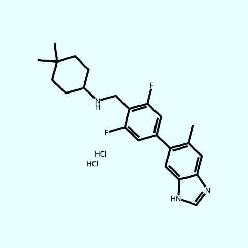 Cc1cc2nc[nH]c2cc1-c1cc(F)c(CNC2CCC(C)(C)CC2)c(F)c1.Cl.Cl